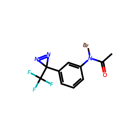 CC(=O)N(Br)c1cccc(C2(C(F)(F)F)N=N2)c1